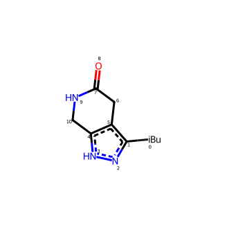 CCC(C)c1n[nH]c2c1CC(=O)NC2